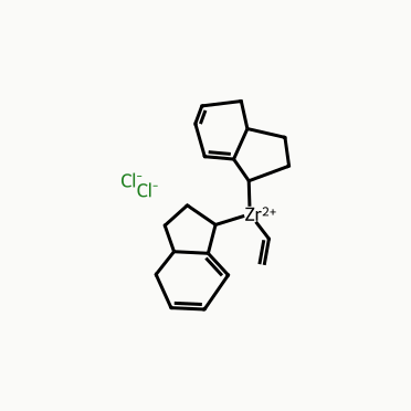 C=[CH][Zr+2]([CH]1CCC2CC=CC=C21)[CH]1CCC2CC=CC=C21.[Cl-].[Cl-]